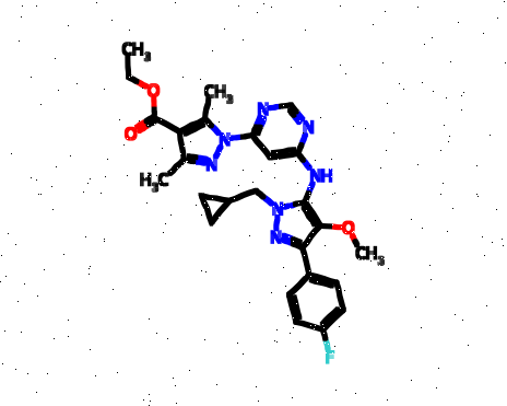 CCOC(=O)c1c(C)nn(-c2cc(Nc3c(OC)c(-c4ccc(F)cc4)nn3CC3CC3)ncn2)c1C